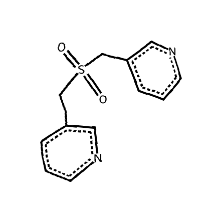 O=S(=O)(Cc1cccnc1)Cc1cccnc1